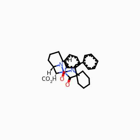 CN(Cc1ccccc1)C(=O)N1[C@H]2CCC[C@H]1[C@@H](C(=O)O)N(C(=O)C1(c3ccccc3)CCCCC1)C2